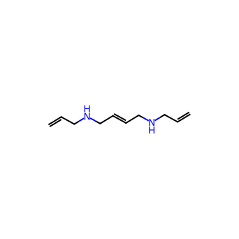 C=CCNCC=CCNCC=C